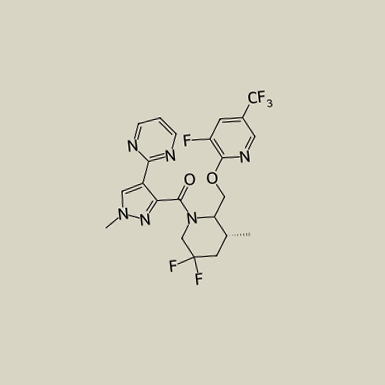 C[C@@H]1CC(F)(F)CN(C(=O)c2nn(C)cc2-c2ncccn2)C1COc1ncc(C(F)(F)F)cc1F